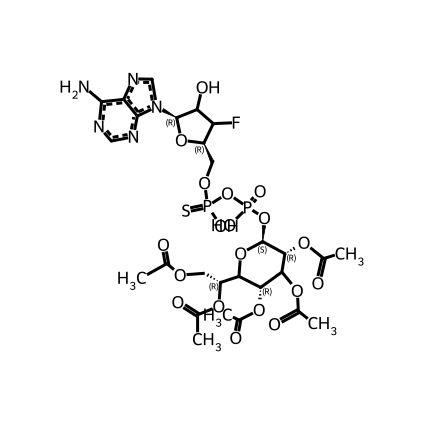 CC(=O)OC[C@@H](OC(C)=O)C1O[C@@H](OP(=O)(O)OP(O)(=S)OC[C@H]2O[C@@H](n3cnc4c(N)ncnc43)C(O)C2F)[C@H](OC(C)=O)C(OC(C)=O)[C@@H]1OC(C)=O